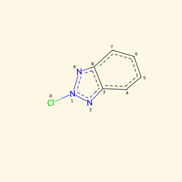 Cln1nc2ccccc2n1